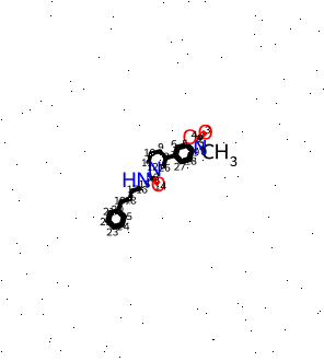 Cn1c(=O)oc2cc(C3CCCN(C(=O)NCCCCc4ccccc4)C3)ccc21